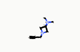 C#CCN1CC(N(C)C)C1